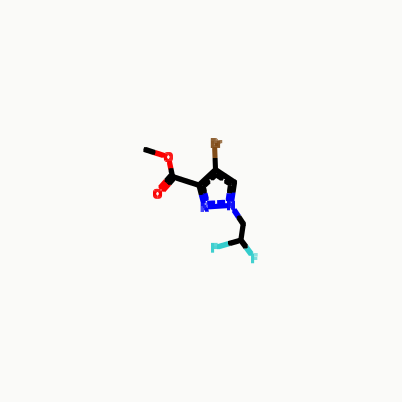 COC(=O)c1nn(CC(F)F)cc1Br